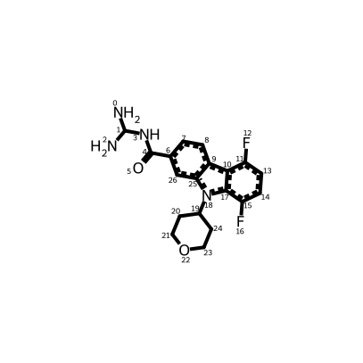 NC(N)NC(=O)c1ccc2c3c(F)ccc(F)c3n(C3CCOCC3)c2c1